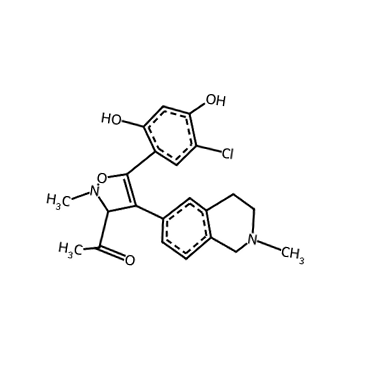 CC(=O)C1C(c2ccc3c(c2)CCN(C)C3)=C(c2cc(Cl)c(O)cc2O)ON1C